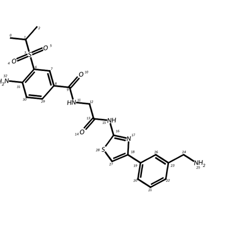 CC(C)S(=O)(=O)c1cc(C(=O)NCC(=O)Nc2nc(-c3cccc(CN)c3)cs2)ccc1N